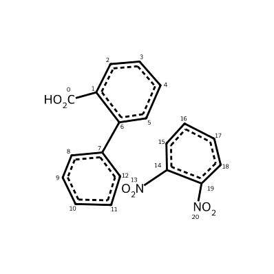 O=C(O)c1ccccc1-c1ccccc1.O=[N+]([O-])c1ccccc1[N+](=O)[O-]